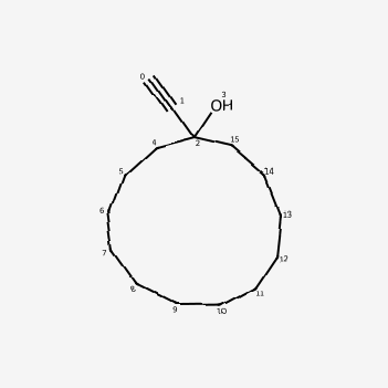 C#CC1(O)CCCCCCCCCCCC1